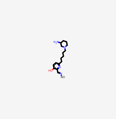 NC1CCCN(CCCCCc2ccc(O)c(C=NN=O)n2)C1